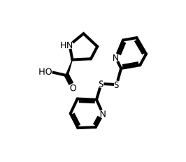 O=C(O)[C@@H]1CCCN1.c1ccc(SSc2ccccn2)nc1